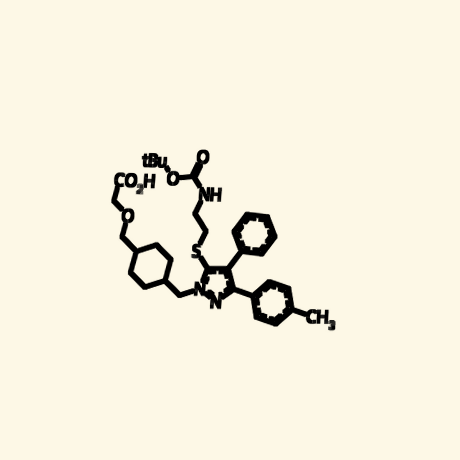 Cc1ccc(-c2nn(CC3CCC(COCC(=O)O)CC3)c(SCCNC(=O)OC(C)(C)C)c2-c2ccccc2)cc1